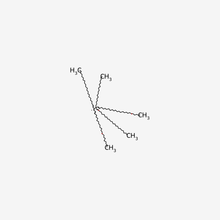 CCCCCCCCCCCCCCCCCCCCC=C/[C]=C(/C=CCCCCCCCCCCCCCCCCCCCCC)C(C=CCCCCCCCCCCCCCCCCCCCCCC)(C=CCCCCCCCCCCCCCCCCCCCCCCC)CCCCCCCCCCCCCCCCCC